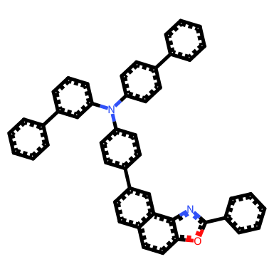 c1ccc(-c2ccc(N(c3ccc(-c4ccc5ccc6oc(-c7ccccc7)nc6c5c4)cc3)c3cccc(-c4ccccc4)c3)cc2)cc1